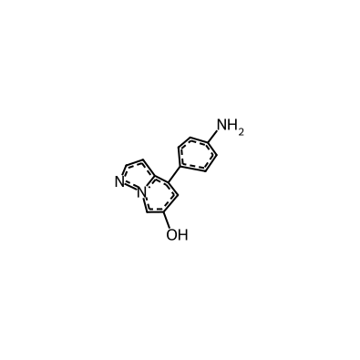 Nc1ccc(-c2cc(O)cn3nccc23)cc1